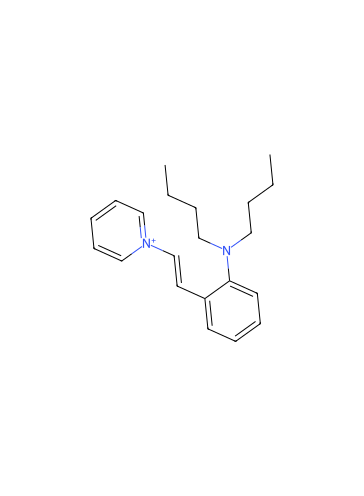 CCCCN(CCCC)c1ccccc1/C=C/[n+]1ccccc1